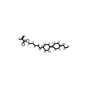 C=C(C)C(=O)OCCCCCC1CCC(C2CCC(CCC)CC2)CC1